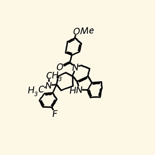 COc1ccc(C(=O)N2CCc3c([nH]c4ccccc34)C23CCC(c2cccc(F)c2)(N(C)C)CC3)cc1